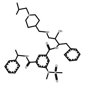 CC(C)CN1CCC(CNCC(O)C(Cc2ccccc2)NC(=O)c2cc(C(=O)NC(C)c3ccccc3)cc(N(C)S(C)(=O)=O)c2)CC1